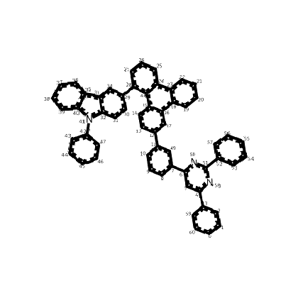 c1ccc(-c2cc(-c3cccc(-c4ccc5c(c4)c4ccccc4c4cccc(-c6ccc7c(c6)c6ccccc6n7-c6ccccc6)c45)c3)nc(-c3ccccc3)n2)cc1